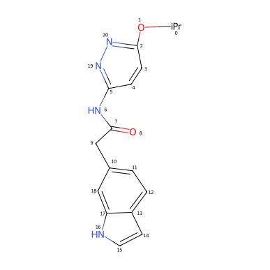 CC(C)Oc1ccc(NC(=O)Cc2ccc3cc[nH]c3c2)nn1